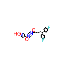 O=C(CCCCC(c1ccc(F)cc1)c1ccc(F)cc1)N1CCN(C(=O)C2=CCN(O)C=C2)CC1